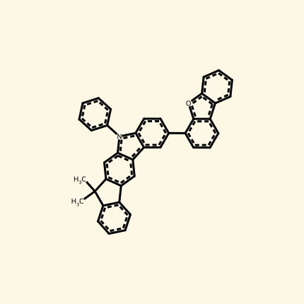 CC1(C)c2ccccc2-c2cc3c4cc(-c5cccc6c5oc5ccccc56)ccc4n(-c4ccccc4)c3cc21